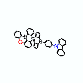 c1ccc2c(c1)Oc1cccc3c1B2c1ccccc1[Si]31c2ccccc2B(c2ccc(-n3c4ccccc4c4ccccc43)cc2)c2ccccc21